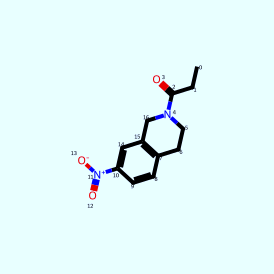 CCC(=O)N1CCc2ccc([N+](=O)[O-])cc2C1